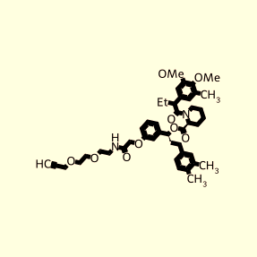 C#CCOCCOCCNC(=O)COc1cccc([C@@H](CCc2ccc(C)c(C)c2)OC(=O)[C@@H]2CCCCN2C(=O)C(CC)c2cc(C)c(OC)c(OC)c2)c1